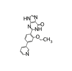 CCOc1cc(-c2cccnc2)ccc1-c1nc2[nH]cnc2c(=O)[nH]1